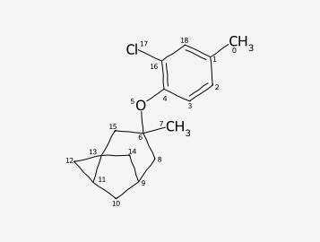 Cc1ccc(OC2(C)CC3CC4CC4(C3)C2)c(Cl)c1